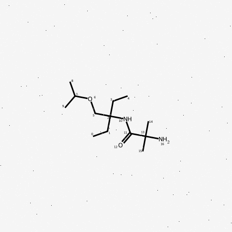 CCC(CC)(COC(C)C)NC(=O)C(C)(C)N